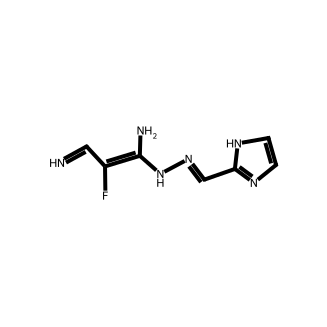 N=C/C(F)=C(\N)N/N=C/c1ncc[nH]1